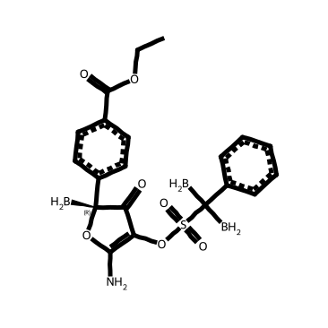 BC(B)(c1ccccc1)S(=O)(=O)OC1=C(N)O[C@](B)(c2ccc(C(=O)OCC)cc2)C1=O